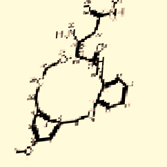 COc1cc2cc(c1)COc1ccccc1NC(=O)[C@@H]([C@@H](N)CC(=O)NO)OCCC2